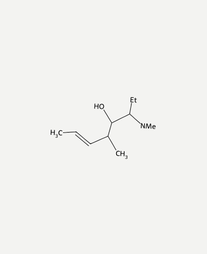 C/C=C/C(C)C(O)C(CC)NC